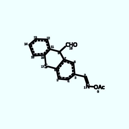 CC(=O)ON=Cc1ccc2c(c1)C(C=O)c1ccccc1S2